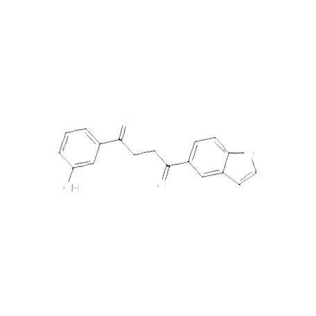 Cc1cccc(C(=O)CCC(=O)c2ccc3occc3c2)c1